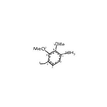 Bc1ccc(C)c(OC)c1OC